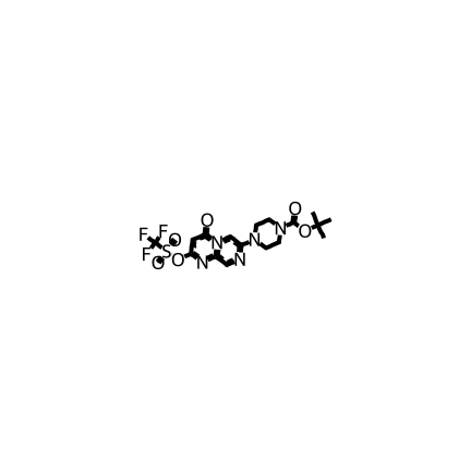 CC(C)(C)OC(=O)N1CCN(c2cn3c(=O)cc(OS(=O)(=O)C(F)(F)F)nc3cn2)CC1